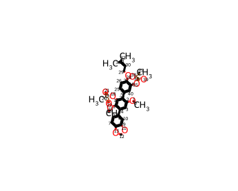 COc1cc(-c2ccc3c(c2)OCO3)c(OC)c(OS(C)(=O)=O)c1-c1ccc(OCC=C(C)C)c(OS(C)(=O)=O)c1